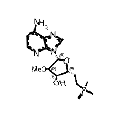 C=P(C)(C)CC[C@H]1O[C@@H](n2cnc3c(N)ccnc32)[C@H](OC)[C@@H]1O